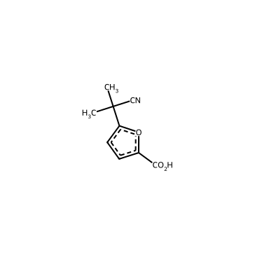 CC(C)(C#N)c1ccc(C(=O)O)o1